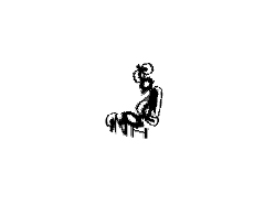 CC(=O)Nc1ccc(C(=O)OC(=O)c2ccc(OC(C)=O)cc2)cc1